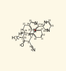 C[C@@H]1C(=O)C(C#N)C[C@@]2(c3ccccc3)c3nc(-c4cnccn4)ncc3CC[C@@H]12